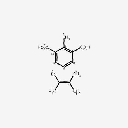 CCC(C)=C(C)[SiH3].Cc1c(C(=O)O)cccc1C(=O)O